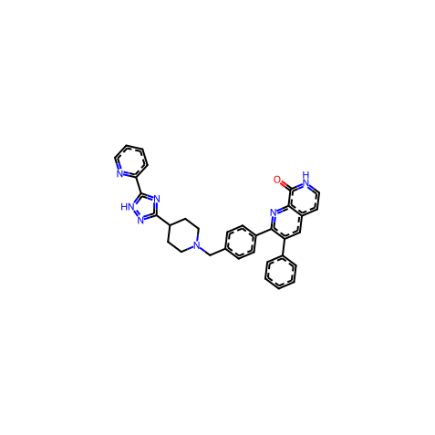 O=c1[nH]ccc2cc(-c3ccccc3)c(-c3ccc(CN4CCC(c5n[nH]c(-c6ccccn6)n5)CC4)cc3)nc12